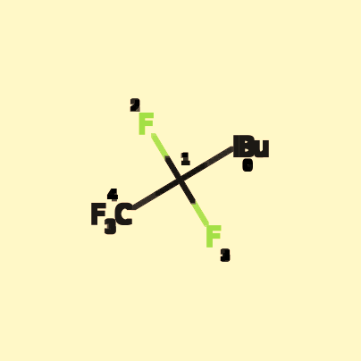 CCC(C)C(F)(F)C(F)(F)F